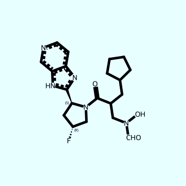 O=CN(O)CC(CC1CCCC1)C(=O)N1C[C@H](F)C[C@H]1c1nc2ccncc2[nH]1